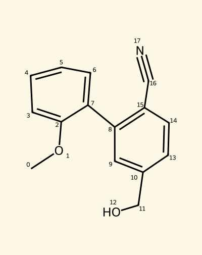 COc1ccccc1-c1cc(CO)ccc1C#N